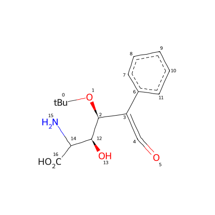 CC(C)(C)O[C@@H](C(=C=O)c1ccccc1)[C@@H](O)C(N)C(=O)O